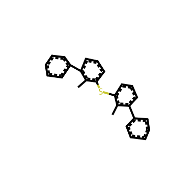 Cc1c(Sc2cccc(-c3ccccc3)c2C)cccc1-c1ccccc1